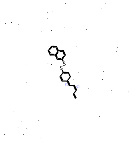 C=C/C=C\C=C1\C=CC(SSc2ccc3ccccc3c2)=CC1